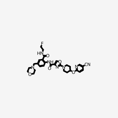 N#Cc1ccc(OC2CCN(c3nc(C(=O)Nc4ccc(CN5CCOCC5)cc4C(=O)NCCF)co3)CC2)nc1